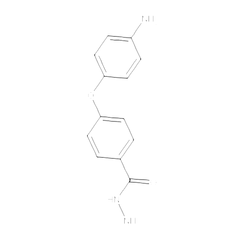 NNC(=O)c1ccc(Oc2ccc(N)cc2)cc1